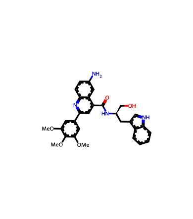 COc1cc(-c2cc(C(=O)N[C@@H](CO)Cc3c[nH]c4ccccc34)c3cc(N)ccc3n2)cc(OC)c1OC